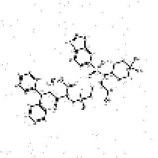 COC(=O)N(CC(F)(F)CC[C@@H](CO)N(C1CCC(F)(F)CC1)S(=O)(=O)c1ccc2ncsc2c1)C(=O)[C@@H](N)C(c1ccccc1)c1ccccc1